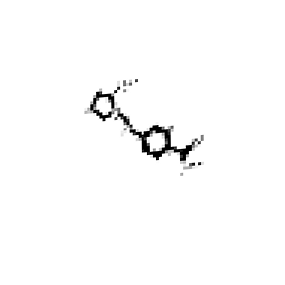 COC(=O)c1ccc(OCN2CCC[C@@H]2OC(C)=O)cc1